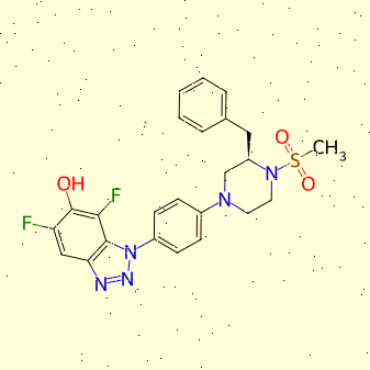 CS(=O)(=O)N1CCN(c2ccc(-n3nnc4cc(F)c(O)c(F)c43)cc2)C[C@H]1Cc1ccccc1